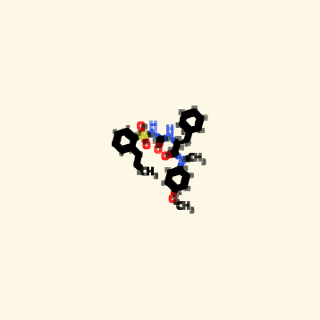 CCCc1ccccc1S(=O)(=O)NC(=O)N[C@@H](Cc1ccccc1)C(=O)N(C)c1ccc(OC)cc1